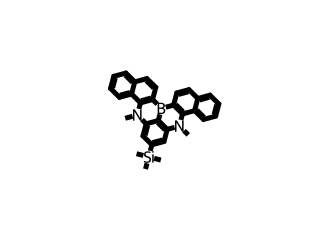 CN1c2cc([Si](C)(C)C)cc3c2B(c2ccc4ccccc4c21)c1ccc2ccccc2c1N3C